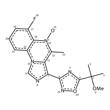 COC(C)(C)c1nc(-c2ncn3c2c(C)[n+]([O-])c2c(F)cccc23)no1